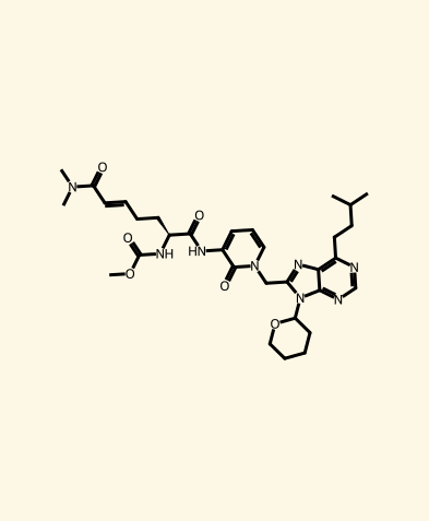 COC(=O)N[C@@H](CC/C=C/C(=O)N(C)C)C(=O)Nc1cccn(Cc2nc3c(CCC(C)C)ncnc3n2C2CCCCO2)c1=O